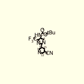 CC(C)(C)OC(=O)Nc1cnc(-c2cncc(C#N)c2)nc1C(F)(F)F